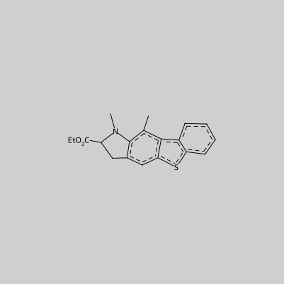 CCOC(=O)C1Cc2cc3sc4ccccc4c3c(C)c2N1C